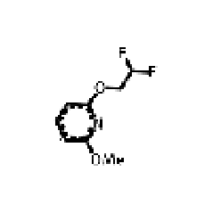 COc1[c]ccc(OCC(F)F)n1